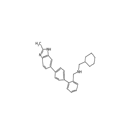 Cc1nc2ccc(-c3ccc(-c4ccccc4CNCC4CCCCC4)cc3)cc2[nH]1